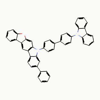 c1ccc(-c2ccc3c4cc5c(cc4n(-c4ccc(-c6ccc(-n7c8ccccc8c8ccccc87)cc6)cc4)c3c2)oc2ccccc25)cc1